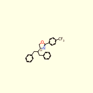 FC(F)(F)c1ccc(C2=N[C@@H]([C](Cc3ccccc3)Cc3ccccc3)CO2)cc1